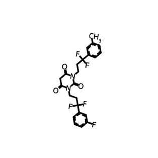 Cc1cccc(C(F)(F)CCN2C(=O)CC(=O)N(CCC(F)(F)c3cccc(F)c3)C2=O)c1